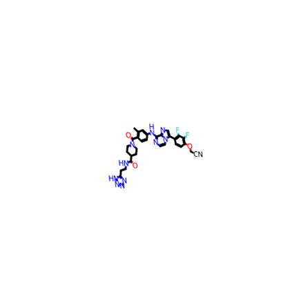 Cc1cc(Nc2nccn3c(-c4ccc(OCC#N)c(F)c4F)cnc23)ccc1C(=O)N1CCC(C(=O)NCCc2nnn[nH]2)CC1